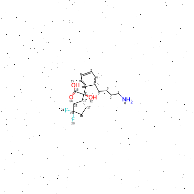 NCCCCc1ccccc1[C@@](O)(C(=O)O)[C@@H]1CCC(F)(F)C1